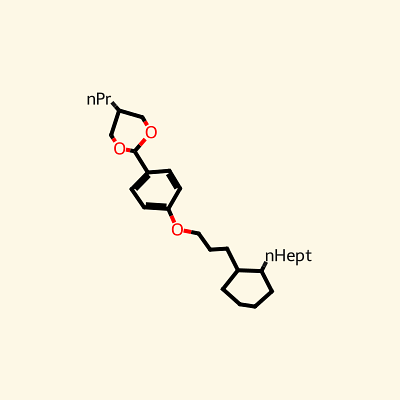 CCCCCCCC1CCCCC1CCCOc1ccc(C2OCC(CCC)CO2)cc1